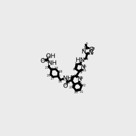 Cc1nc(CNc2ccc(-c3cc(C(=O)NCC4CCC(CNC(=O)O)CC4)c4ccccc4n3)cn2)no1